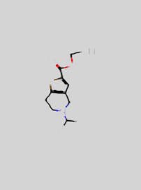 CCOC(=O)c1cc2c(s1)CCN(C(C)C)C2